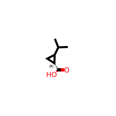 CC(C)C1C[C@H]1C(=O)O